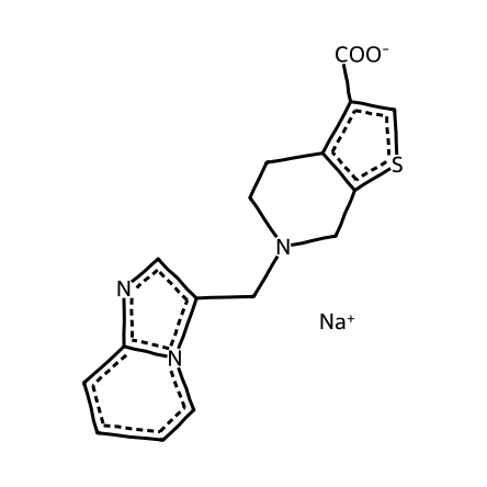 O=C([O-])c1csc2c1CCN(Cc1cnc3ccccn13)C2.[Na+]